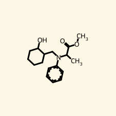 COC(=O)C(C)N(CC1CCCCC1O)c1ccccc1